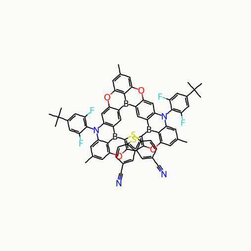 Cc1cc2c3c(c1)Oc1cc4c(cc1B3c1cc3c(cc1O2)N(c1c(F)cc(C(C)(C)C)cc1F)c1cc(C)cc2c1B3c1sc3ccc(C#N)cc3c1O2)B1c2sc3ccc(C#N)cc3c2Oc2cc(C)cc(c21)N4c1c(F)cc(C(C)(C)C)cc1F